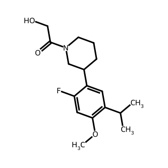 COc1cc(F)c(C2CCCN(C(=O)CO)C2)cc1C(C)C